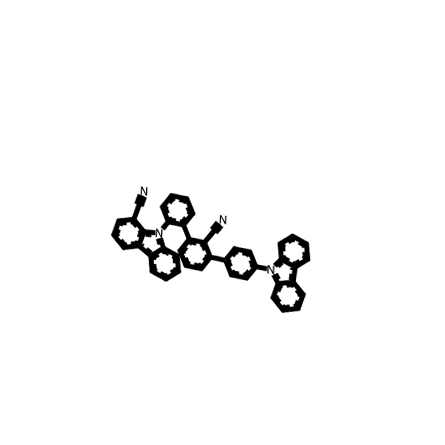 N#Cc1c(-c2ccc(-n3c4ccccc4c4ccccc43)cc2)cccc1-c1ccccc1-n1c2ccccc2c2cccc(C#N)c21